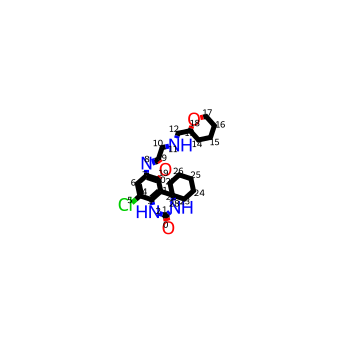 O=C1Nc2c(Cl)cc3nc(CNCC4CCCCO4)oc3c2C2(CCCCC2)N1